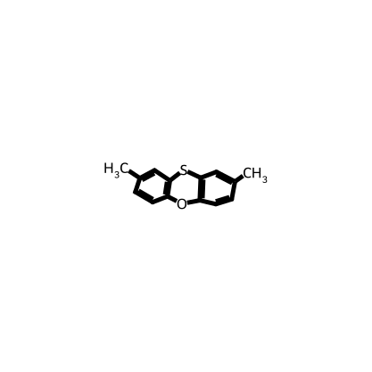 Cc1ccc2c(c1)Sc1cc(C)ccc1O2